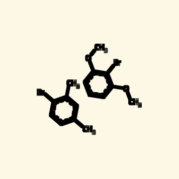 COc1cccc(OC)c1Br.Cc1ccc(Br)c(C)c1